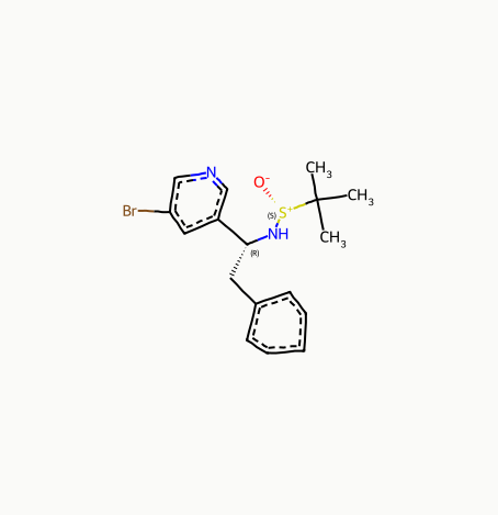 CC(C)(C)[S@@+]([O-])N[C@H](Cc1ccccc1)c1cncc(Br)c1